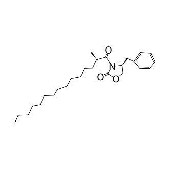 CCCCCCCCCCCCC[C@@H](C)C(=O)N1C(=O)OC[C@@H]1Cc1ccccc1